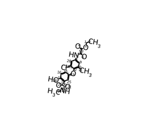 CCOC(=O)C(=O)Nc1cc(C)c(Oc2ccc(O)c(S(=O)(=O)NC)c2)c(Cl)c1